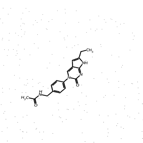 CCc1cc2cn(-c3ccc(CNC(C)=O)cc3)c(=O)nc2[nH]1